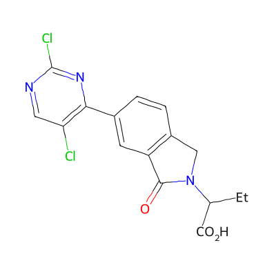 CCC(C(=O)O)N1Cc2ccc(-c3nc(Cl)ncc3Cl)cc2C1=O